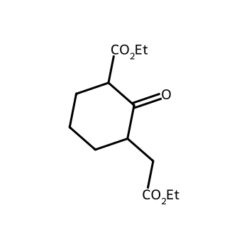 CCOC(=O)CC1CCCC(C(=O)OCC)C1=O